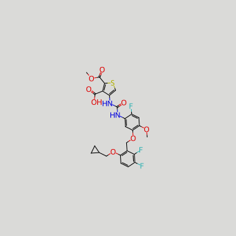 COC(=O)c1scc(NC(=O)Nc2cc(OCc3c(OCC4CC4)ccc(F)c3F)c(OC)cc2F)c1C(=O)O